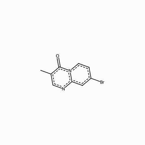 Cc1cnc2cc(Br)ccn2c1=O